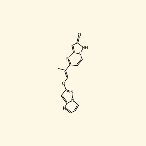 C/C(=C\Oc1cc2ncccn2n1)c1ccn2[nH]c(=O)cc2n1